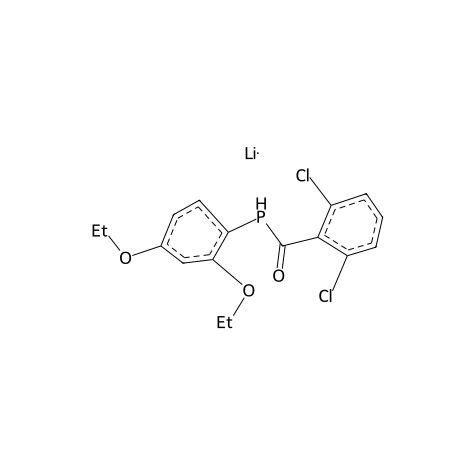 CCOc1ccc(PC(=O)c2c(Cl)cccc2Cl)c(OCC)c1.[Li]